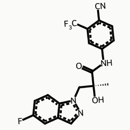 C[C@](O)(Cn1ncc2cc(F)ccc21)C(=O)Nc1ccc(C#N)c(C(F)(F)F)c1